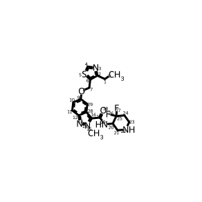 CCc1ncsc1COc1ccc2nn(C)c(C(=O)NC3CNCCC3(F)F)c2c1